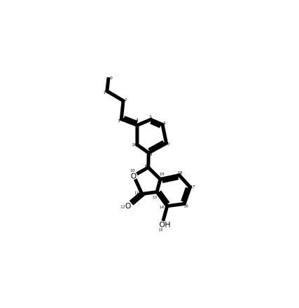 CCCC=C1C=CC=C(C2OC(=O)c3c(O)cccc32)C1